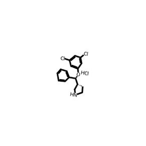 Cl.Clc1cc(Cl)cc(O[C@H](c2ccccc2)[C@@H]2CCNC2)c1